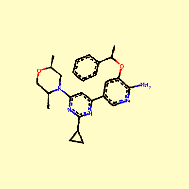 CC(Oc1cc(-c2cc(N3C[C@H](C)OC[C@@H]3C)nc(C3CC3)n2)cnc1N)c1ccccc1